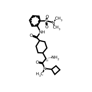 CN(C(=O)[C@@H](N)C1CCC(C(=O)Nc2ccccc2S(=O)(=O)N(C)C)CC1)C1CCC1